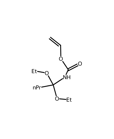 C=COC(=O)NC(CCC)(OCC)OCC